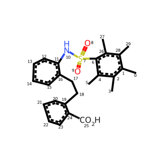 Cc1c(C)c(C)c(S(=O)(=O)Nc2ccccc2CCc2ccccc2C(=O)O)c(C)c1C